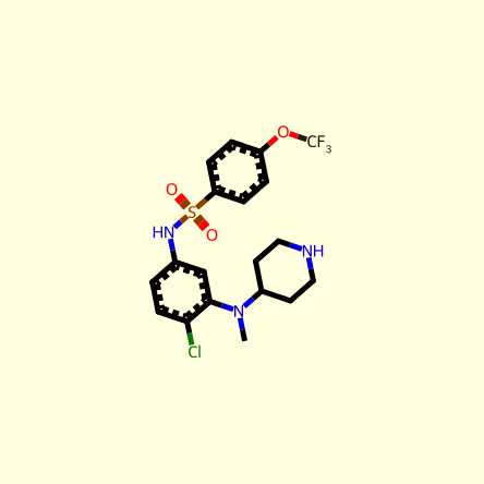 CN(c1cc(NS(=O)(=O)c2ccc(OC(F)(F)F)cc2)ccc1Cl)C1CCNCC1